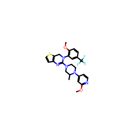 COc1cc(N2CCN(C3=Nc4ccsc4CN3c3cc(C(F)(F)F)ccc3OC)CC2C)ccn1